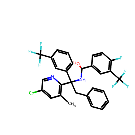 Cc1cc(Cl)cnc1C(Cc1ccccc1)(N[C@@H](O)c1ccc(F)c(C(F)(F)F)c1)c1cccc(C(F)(F)F)c1